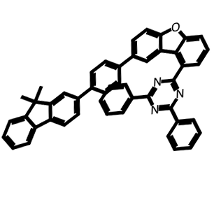 CC1(C)c2ccccc2-c2ccc(-c3ccc(-c4ccc5oc6cccc(-c7nc(-c8ccccc8)nc(-c8ccccc8)n7)c6c5c4)cc3)cc21